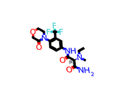 CCN(C)[C@H](C(N)=O)C(=O)Nc1ccc(N2CCOCC2=O)c(C(F)(F)F)c1